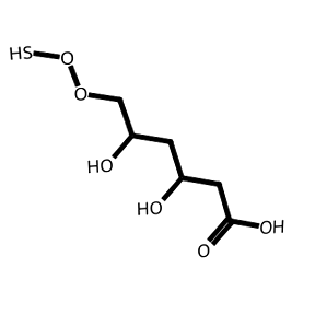 O=C(O)CC(O)CC(O)COOS